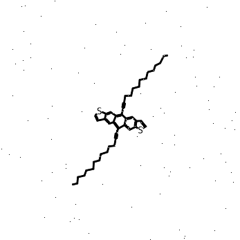 CCCCCCCCCCCCC#Cc1c2cc3ccsc3cc2c(C#CCCCCCCCCCCCC)c2cc3ccsc3cc12